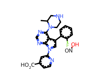 CC1CNCCN1c1ncnc2c1c(-c1ccccc1F)cn2-c1cc(C(=O)O)ccn1.O=NO